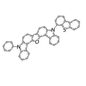 c1ccc(-n2c3ccccc3c3c4oc5c(ccc6c5c5ccccc5n6-c5cccc6c5sc5ccccc56)c4ccc32)cc1